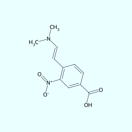 CN(C)C=Cc1ccc(C(=O)O)cc1[N+](=O)[O-]